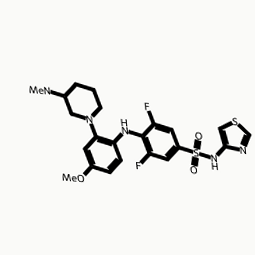 CNC1CCCN(c2cc(OC)ccc2Nc2c(F)cc(S(=O)(=O)Nc3cscn3)cc2F)C1